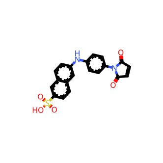 O=C1C=CC(=O)N1c1ccc(Nc2ccc3cc(S(=O)(=O)O)ccc3c2)cc1